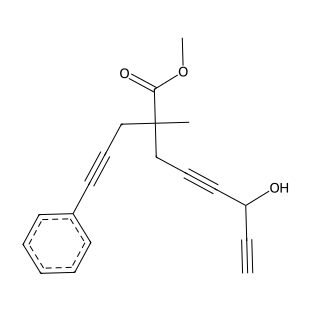 C#CC(O)C#CCC(C)(CC#Cc1ccccc1)C(=O)OC